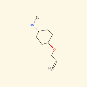 C=CCO[C@H]1CC[C@H](NCC)CC1